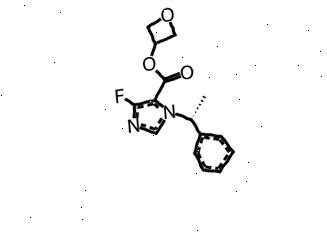 C[C@H](c1ccccc1)n1cnc(F)c1C(=O)OC1COC1